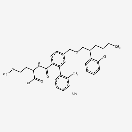 CCCCC(COCc1ccc(C(=O)NC(CCSC)C(=O)O)c(-c2ccccc2C)c1)c1ccccc1Cl.[LiH]